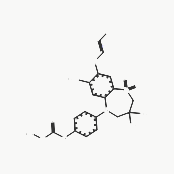 CCCCOC(=O)Nc1ccc(N2CC(CCCC)(CCCC)CS(=O)(=O)c3cc(O/C=C/C(=O)O)c(SC)cc32)cc1